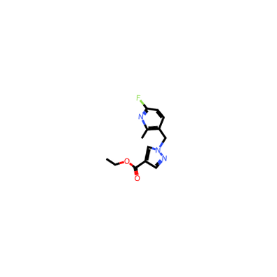 CCOC(=O)c1cnn(Cc2ccc(F)nc2C)c1